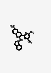 Cc1cc(C)nc(-c2cc3cc(N)ccc3nc2N[C@@H]2CCc3ccccc32)n1